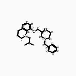 CC(C)CN1CCCc2cccc(OCC3CN(Cc4ccccc4)CCO3)c21